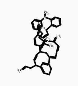 C=CCC/C1=C/C2(C(\C=C/C(/C=C\Cc3ccccc3N(C)c3ccccc3)=C/C)=C(C)C)/C=C\C(CC=C)C3=CCCC(=C3)/C(=C/C=C\C(=C)S1)C2